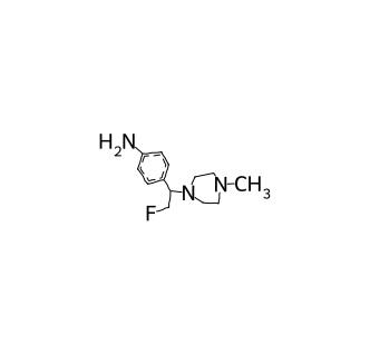 CN1CCN(C(CF)c2ccc(N)cc2)CC1